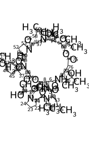 CC[C@H](C)[C@H]1NC(=O)[C@@H](NC(=O)[C@@H](CC(C)C)N(C)C(=O)[C@H]2CCCN2C(=O)[C@H](C)O)[C@@H](C)OC(=O)[C@H](Cc2ccc(OC)cc2)N(C)C(=O)[C@@H]2CCCN2C(=O)[C@H](CC(C)C)NC(O)[C@@H](C)C(=O)[C@H](C(C)C)OC(=O)C[C@@H]1O